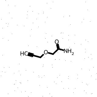 C#CCOCC(N)=O